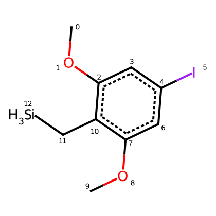 COc1cc(I)cc(OC)c1C[SiH3]